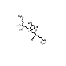 CCCCC(C)[C@H](O)/C=C/[C@H]1C(O)C[C@@H]2O/C(=C(/C#N)CCCC3=NCCO3)C[C@@H]21